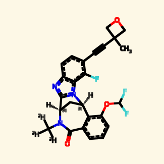 [2H]C([2H])([2H])N1C(=O)c2cccc(OC(F)F)c2[C@H]2C[C@@H]1c1nc3ccc(C#CC4(C)COC4)c(F)c3n12